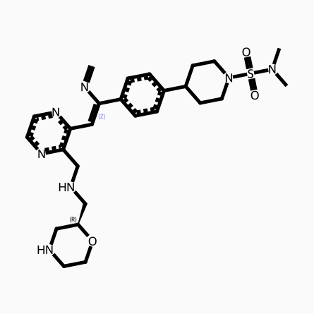 C=N/C(=C\c1nccnc1CNC[C@@H]1CNCCO1)c1ccc(C2CCN(S(=O)(=O)N(C)C)CC2)cc1